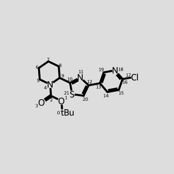 CC(C)(C)OC(=O)N1CCCCC1c1nc(-c2ccc(Cl)nc2)cs1